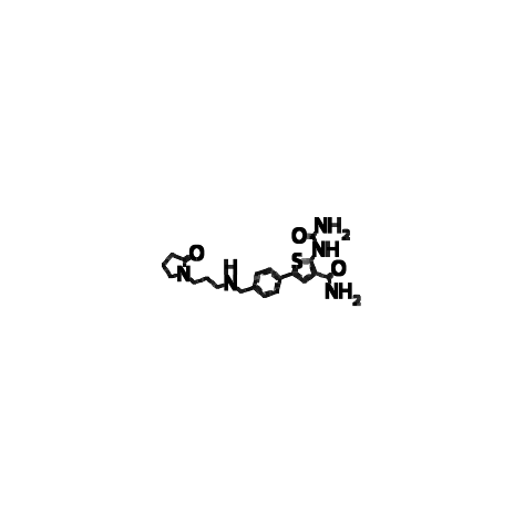 NC(=O)Nc1sc(-c2ccc(CNCCCN3CCCC3=O)cc2)cc1C(N)=O